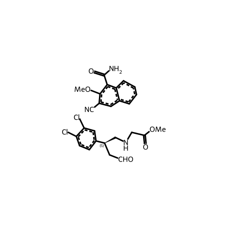 COC(=O)CNC[C@@H](CC=O)c1ccc(Cl)c(Cl)c1.COc1c(C#N)cc2ccccc2c1C(N)=O